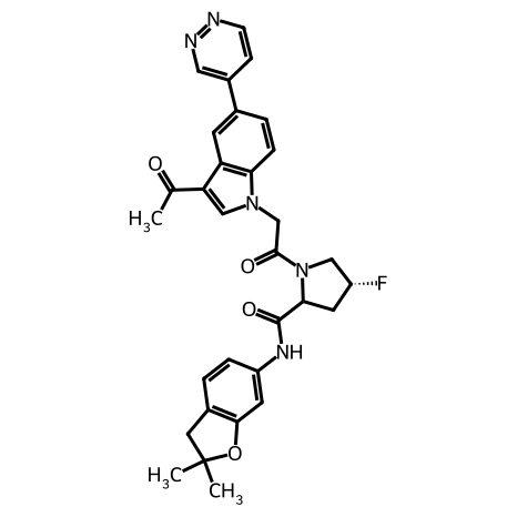 CC(=O)c1cn(CC(=O)N2C[C@H](F)CC2C(=O)Nc2ccc3c(c2)OC(C)(C)C3)c2ccc(-c3ccnnc3)cc12